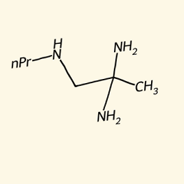 CCCNCC(C)(N)N